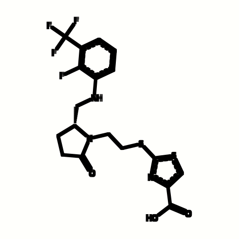 O=C(O)c1csc(SCCN2C(=O)CC[C@@H]2CNc2cccc(C(F)(F)F)c2F)n1